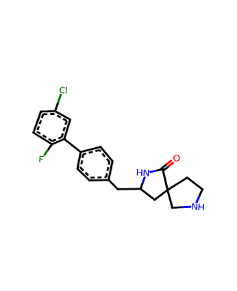 O=C1NC(Cc2ccc(-c3cc(Cl)ccc3F)cc2)CC12CCNC2